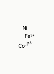 [Co].[Fe+3].[Ni].[P-3]